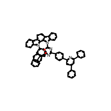 c1ccc(-c2cccc(-n3c4ccccc4c4ccc5c6ccccc6n(-c6nc(-c7ccccc7)nc(-c7ccc(-c8cc(-c9ccccc9)cc(-c9ccccc9)n8)cc7)n6)c5c43)c2)cc1